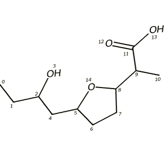 CCC(O)CC1CCC(C(C)C(=O)O)O1